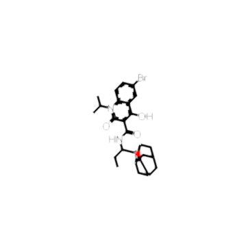 CCC(NC(=O)c1c(O)c2cc(Br)ccc2n(C(C)C)c1=O)N1C2CC3CC(C2)CC1C3